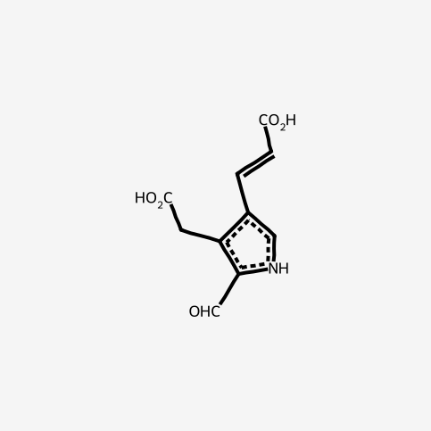 O=Cc1[nH]cc(/C=C/C(=O)O)c1CC(=O)O